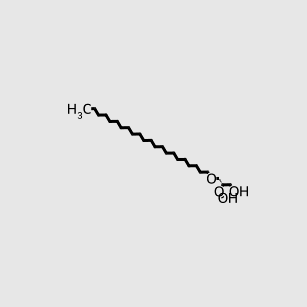 CCCCCCCCCCCCCCCCCCCCCCOC[C@H](CO)OO